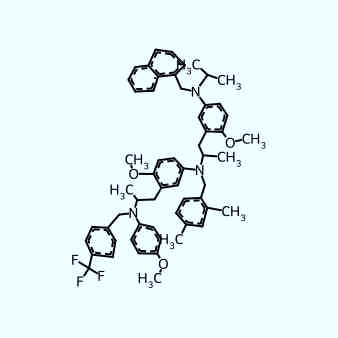 COc1ccc(N(Cc2ccc(C(F)(F)F)cc2)C(C)Cc2cc(N(Cc3ccc(C)cc3C)C(C)Cc3cc(N(Cc4cccc5ccccc45)C(C)C)ccc3OC)ccc2OC)cc1